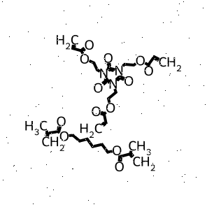 C=C(C)C(=O)OCCCCCCOC(=O)C(=C)C.C=CC(=O)OCCn1c(=O)n(CCOC(=O)C=C)c(=O)n(CCOC(=O)C=C)c1=O